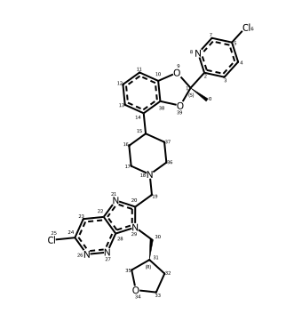 C[C@]1(c2ccc(Cl)cn2)Oc2cccc(C3CCN(Cc4nc5cc(Cl)nnc5n4C[C@H]4CCOC4)CC3)c2O1